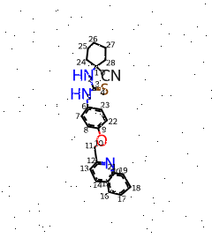 N#CC1(NC(=S)Nc2ccc(OCc3ccc4ccccc4n3)cc2)CCCCC1